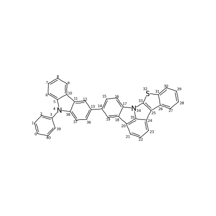 c1ccc(-n2c3ccccc3c3cc(-c4ccc5c(c4)c4cccc6c7c8ccccc8sc7n5c46)ccc32)cc1